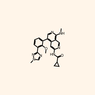 CNc1ncc(-c2cccc(-c3ncn(C)n3)c2OC)c2cc(NC(=O)C3CC3)ncc12